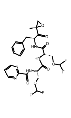 C[C@@]1(C(=O)[C@H](Cc2ccccc2)NC(=O)[C@H](COC(F)F)NC(=O)[C@H](COC(F)F)NC(=O)c2ncccn2)CO1